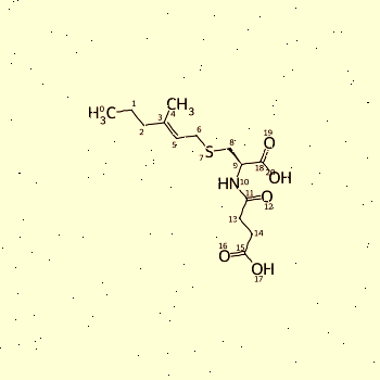 CCC/C(C)=C/CSC[C@H](NC(=O)CCC(=O)O)C(=O)O